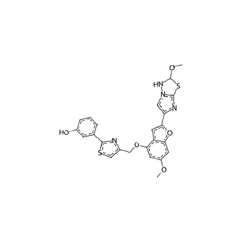 COc1cc(OCc2csc(-c3cccc(O)c3)n2)c2cc(-c3cn4c(n3)SC(OC)N4)oc2c1